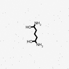 NC(O)CCCC(N)O